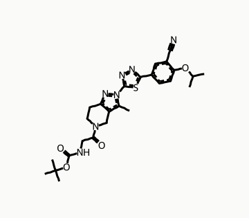 Cc1c2c(nn1-c1nnc(-c3ccc(OC(C)C)c(C#N)c3)s1)CCN(C(=O)CNC(=O)OC(C)(C)C)C2